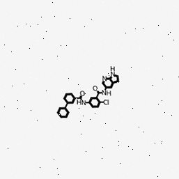 O=C(Nc1ccc(Cl)c(C(=O)Nc2cnc3[nH]ccc3c2)c1)c1cccc(-c2ccccc2)c1